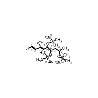 CC(/C=C/I)=C\[C@@H](O[Si](C)(C)C(C)(C)C)[C@@H](C[C@@H](C)O[Si](C)(C)C(C)(C)C)O[Si](C)(C)C(C)(C)C